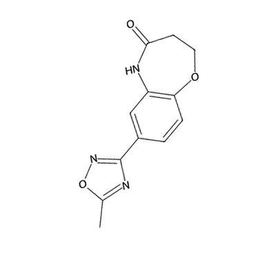 Cc1nc(-c2ccc3c(c2)NC(=O)CCO3)no1